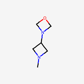 CN1CC(N2COC2)C1